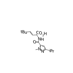 CC(C)c1cc(C(=O)NC(C=CC(C)(C)C)C(=O)O)n(C)n1